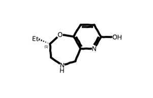 CC[C@H]1CNCc2nc(O)ccc2O1